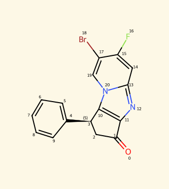 O=C1C[C@@H](c2ccccc2)c2c1nc1cc(F)c(Br)cn21